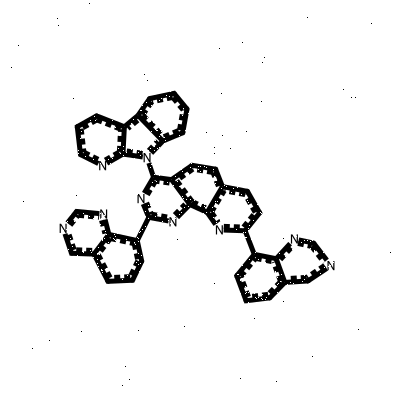 c1cc(-c2ccc3ccc4c(-n5c6ccccc6c6cccnc65)nc(-c5cccc6cncnc56)nc4c3n2)c2ncncc2c1